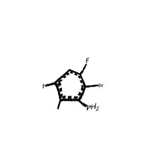 Cc1c(F)cc(F)c(Br)c1P